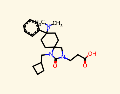 CN(C)C1(c2ccccc2)CCC2(CC1)CN(CCC(=O)O)C(=O)N2CC1CCC1